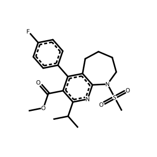 COC(=O)c1c(C(C)C)nc2c(c1-c1ccc(F)cc1)CCCCN2S(C)(=O)=O